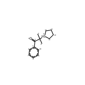 CC(C)(C(=O)c1ccccc1)[SH]1CCCC1